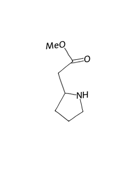 COC(=O)CC1CCCN1